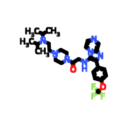 CC(C)N(CCN1CCN(C(=O)CNc2c(-c3ccc(OC(F)(F)F)cc3)nc3cnccn23)CC1)C(C)C